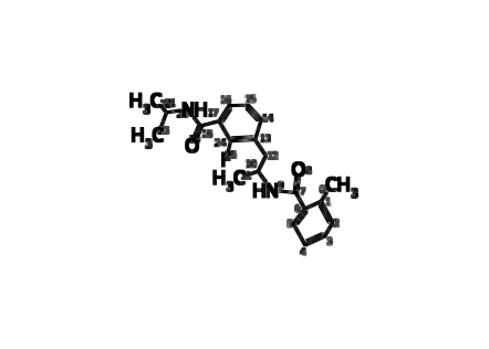 Cc1ccccc1C(=O)NC(C)Cc1cccc(C(=O)NC(C)C)c1F